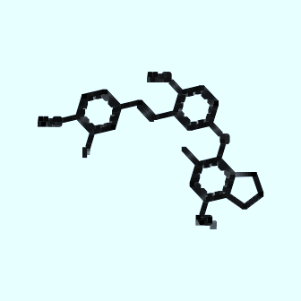 COc1ccc(/C=C/c2cc(Oc3c(C)cc([N+](=O)[O-])c4c3CCC4)ccc2OC)cc1F